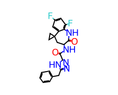 O=C(N[C@H]1CC2(CC2)c2cc(F)cc(F)c2NC1=O)c1nnc(Cc2ccccc2)[nH]1